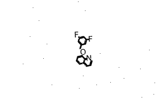 Fc1cc(F)cc(COc2cccc3cccnc23)c1